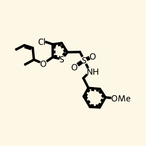 C/C=C\C(C)Oc1sc(CS(=O)(=O)NCc2cccc(OC)c2)cc1Cl